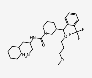 COCCCOC(c1ccccc1C(F)(F)F)C1CCCN(C(=O)NC(CN)CC2CCCCC2)C1